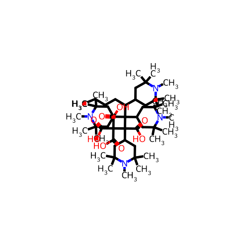 CCCCC(C1CC(C)(C)N(C)C(C)(C)C1)C(C1CC(C)(C)N(C)C(C)(C)C1)(C1CC(C)(C)N(C)C(C)(C)C1)C(C(=O)O)(C1CC(C)(C)N(C)C(C)(C)C1)C(C(=O)O)(C(=O)O)C(=O)O